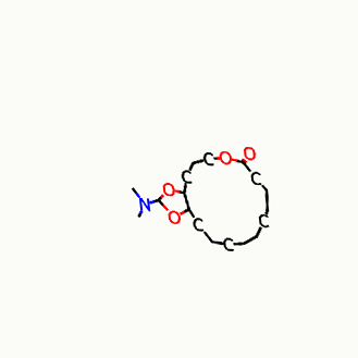 CN(C)C1OC2CCCCCCCCCC(=O)OCCCC2O1